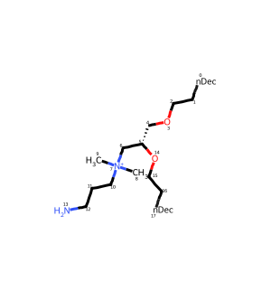 CCCCCCCCCCCCOC[C@@H](C[N+](C)(C)CCCN)OCCCCCCCCCCCC